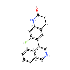 O=C1CCc2cc(-c3cncc4ccccc34)c(F)cc2N1